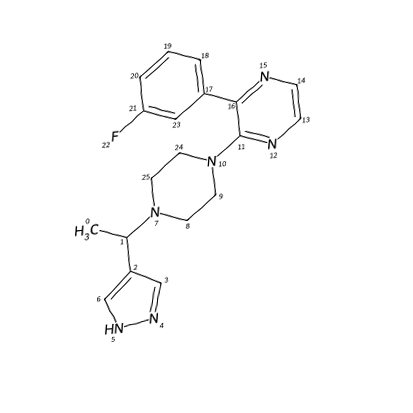 CC(c1cn[nH]c1)N1CCN(c2nccnc2-c2cccc(F)c2)CC1